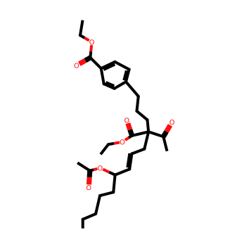 CCCCCC(C=CCC(CCCc1ccc(C(=O)OCC)cc1)(C(C)=O)C(=O)OCC)OC(C)=O